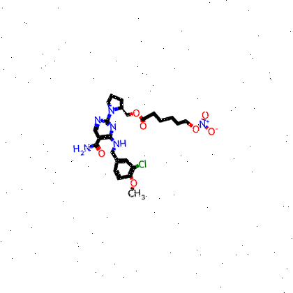 COc1ccc(CNc2nc(N3CCC[C@H]3COC(=O)CCCCCO[N+](=O)[O-])ncc2C(N)=O)cc1Cl